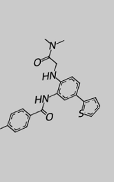 CN(C)C(=O)CNc1ccc(-c2cccs2)cc1NC(=O)c1ccc(N)cc1